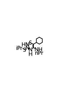 CCCNc1[nH]n(SC(C)C)[nH]sc1C1CCCCC1